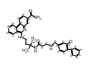 CC(C)(CCNc1nc2cc(C(N)=O)ccc2c2cnccc12)NC(=O)CCNCc1ccc(-c2ccccc2)c(Cl)c1